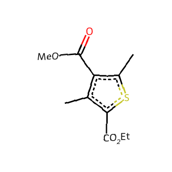 CCOC(=O)c1sc(C)c(C(=O)OC)c1C